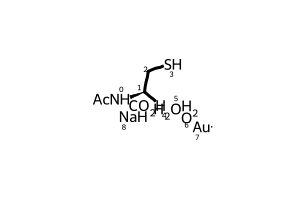 CC(=O)N[C@@H](CS)C(=O)O.O.O.[Au].[NaH]